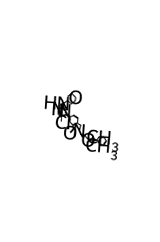 CC(C)(OCCN1Cc2ccc(-c3nc(NC4CCOCC4)ncc3Cl)cc2C1=O)c1ccccc1